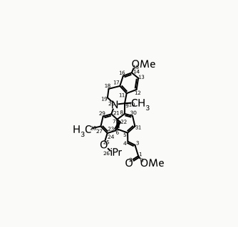 COC(=O)C=Cc1ccc(C2(C)c3ccc(OC)cc3CCN2c2ccc(OC(C)C)c(C)c2)cc1